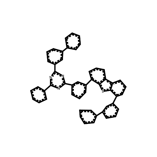 c1ccc(-c2cccc(-c3nc(-c4ccccc4)nc(-c4cccc(-c5cccc6c5sc5c(-c7cccc(-c8ccccc8)c7)cccc56)c4)n3)c2)cc1